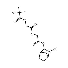 CCC1C2CCC(C2)C1OC(=O)COC(=O)COC(=O)C(C)(C)CC